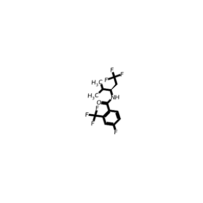 CC(C)[C@@H](CC(F)(F)F)NC(=O)c1ccc(F)cc1C(F)(F)F